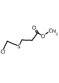 COC(=O)CCSCCl